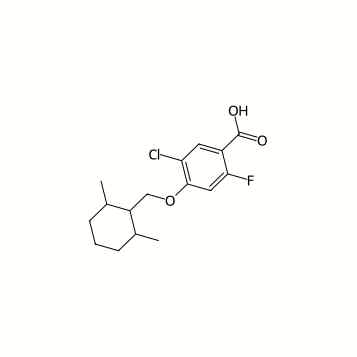 CC1CCCC(C)C1COc1cc(F)c(C(=O)O)cc1Cl